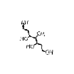 N=CC[C@H](O)[C@@H](O)C(O)CCO